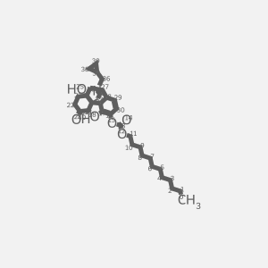 CCCCCCCCCCCCOC(=O)OC1=C2O[C@H]3C(=O)CC[C@@]4(O)C5CC(C=C1)C2[C@@]34CCN5CC1CC1